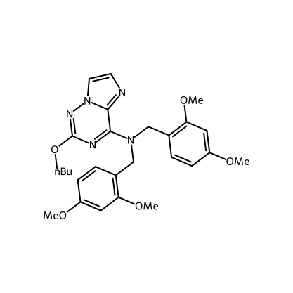 CCCCOc1nc(N(Cc2ccc(OC)cc2OC)Cc2ccc(OC)cc2OC)c2nccn2n1